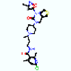 Cc1cc(NC(=O)N(Cc2ccsc2)C2CCN(C(C)CCNC(=O)c3c(C)cc(Cl)nc3C)CC2)on1